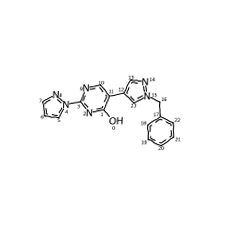 Oc1nc(-n2cccn2)ncc1-c1cnn(Cc2ccccc2)c1